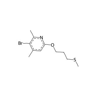 CSCCCOc1cc(C)c(Br)c(C)n1